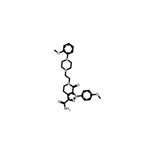 COc1ccc(-n2nc(C(N)=O)c3c2C(=O)N(CCN2CCN(c4ccccc4OC)CC2)CC3)cc1